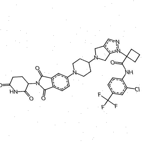 O=C1CCC(N2C(=O)c3ccc(N4CCC(N5Cc6cnn(C7(C(=O)Nc8ccc(C(F)(F)F)cc8Cl)CCC7)c6C5)CC4)cc3C2=O)C(=O)N1